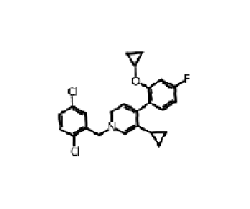 Fc1ccc(C2=CCN(Cc3cc(Cl)ccc3Cl)C=C2C2CC2)c(OC2CC2)c1